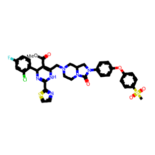 COC(=O)C1=C(CN2CCN3C(=O)N(c4ccc(Oc5ccc(S(C)(=O)=O)cc5)cc4)CC3C2)NC(c2nccs2)=NC1c1ccc(F)cc1Cl